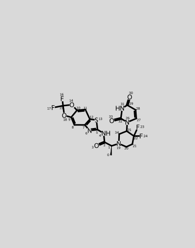 C[C@@H](C(=O)Nc1nc2cc3c(cc2s1)OC(F)(F)O3)N1CCC(F)(F)C(n2ccc(=O)[nH]c2=O)C1